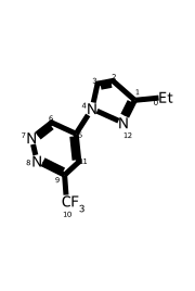 CCc1ccn(-c2cnnc(C(F)(F)F)c2)n1